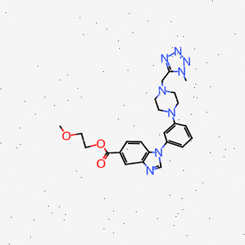 COCCOC(=O)c1ccc2c(c1)ncn2-c1cccc(N2CCN(Cc3nnnn3C)CC2)c1